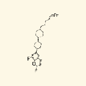 CCC/C=C/CCC[C@H]1CC[C@H]([C@H]2CC[C@H](c3cc(F)c(OC(F)F)c(F)c3)CC2)CC1